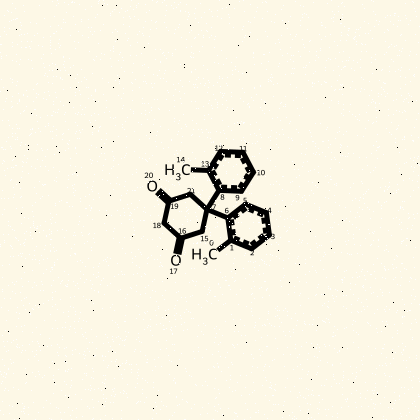 Cc1ccccc1C1(c2ccccc2C)CC(=O)CC(=O)C1